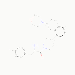 NC(Cc1ccc(Cl)cc1)C(=O)N1CCC(c2cccc3c2CC(N2CCOCC2)CC3)CC1